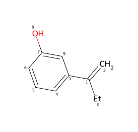 [CH2]CC(=C)c1cccc(O)c1